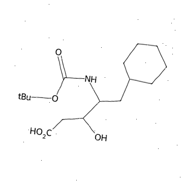 CC(C)(C)OC(=O)NC(CC1CCCCC1)C(O)CC(=O)O